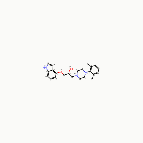 Cc1cccc(C)c1N1CCN(C[C@H](O)COc2cccc3[nH]ccc23)CC1